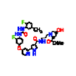 COC(=O)[C@@H]1C[C@@H](O)CN1CCCNC(=O)c1c[nH]c(-c2cc(Oc3ccc(NC(=O)Nc4cc(C)ccc4F)c(F)c3)ccn2)c1